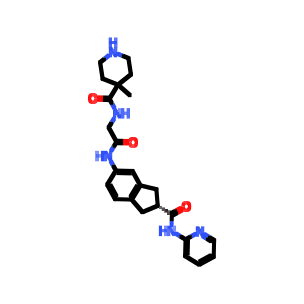 CC1(C(=O)NCC(=O)Nc2ccc3c(c2)C[C@H](C(=O)Nc2ccccn2)C3)CCNCC1